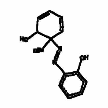 CCCCC1(N=Nc2ccccc2O)C=CC=CC1O